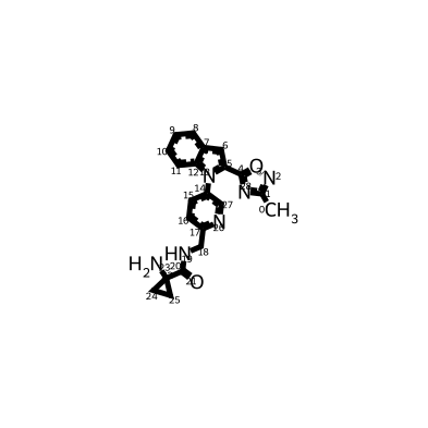 Cc1noc(-c2cc3ccccc3n2-c2ccc(CNC(=O)C3(N)CC3)nc2)n1